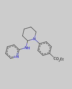 CCOC(=O)c1ccc(N2CCCCC2Nc2ccccn2)cc1